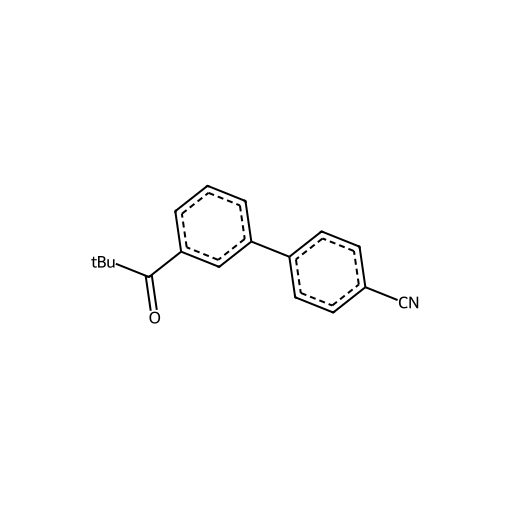 CC(C)(C)C(=O)c1cccc(-c2ccc(C#N)cc2)c1